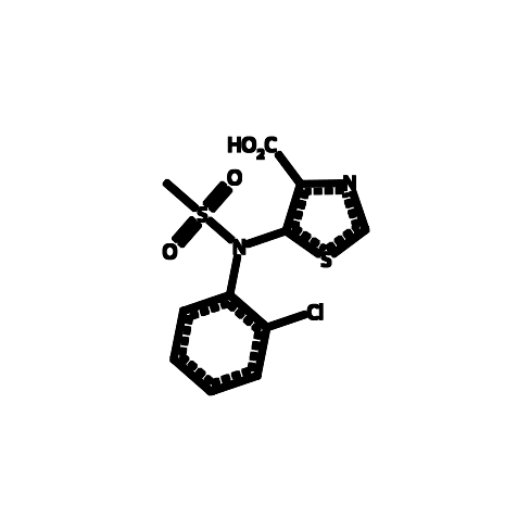 CS(=O)(=O)N(c1ccccc1Cl)c1scnc1C(=O)O